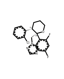 Fc1ccc([C@]2(Cn3cncn3)OCCC[C@H]2c2ccccc2Cl)c(F)c1